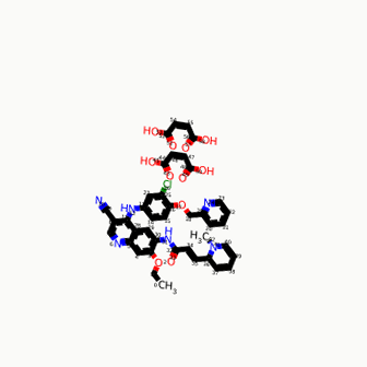 CCOc1cc2ncc(C#N)c(Nc3ccc(OCc4ccccn4)c(Cl)c3)c2cc1NC(=O)C=CC1C=CC=CN1C.O=C(O)/C=C\C(=O)O.O=C(O)/C=C\C(=O)O